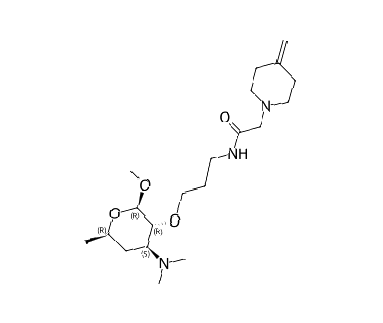 C=C1CCN(CC(=O)NCCCO[C@H]2[C@H](OC)O[C@H](C)C[C@@H]2N(C)C)CC1